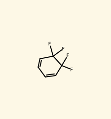 FC1(F)C=CC=CC1(F)F